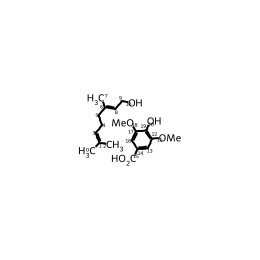 CC(C)=CCCC(C)=CCO.COc1cc(C(=O)O)cc(OC)c1O